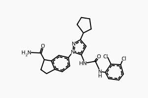 NC(=O)C1CCc2ccc(-n3nc(C4CCCC4)cc3NC(=O)Nc3cccc(Cl)c3Cl)cc21